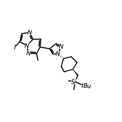 Cc1nn2c(I)cnc2cc1-c1cnn([C@H]2CC[C@H](C[Si](C)(C)C(C)(C)C)CC2)c1